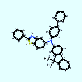 CC1(C)c2ccccc2-c2ccc(N(c3ccc(-c4ccccc4)cc3)c3ccc4sc(-c5ccccc5)nc4c3)cc21